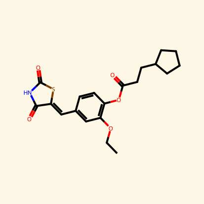 CCOc1cc(/C=C2\SC(=O)NC2=O)ccc1OC(=O)CCC1CCCC1